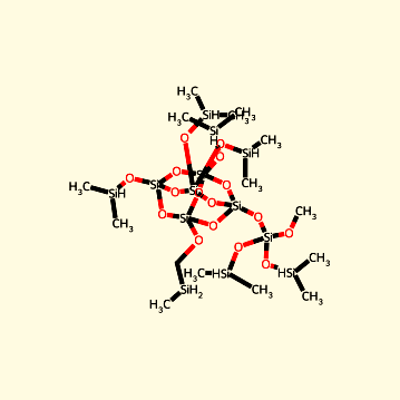 CO[Si](O[SiH](C)C)(O[SiH](C)C)O[Si]12O[Si](O[SiH](C)C)(O[SiH](C)C)O[Si]3(O[SiH](C)C)O[Si](OC[SiH2]C)(O[Si](O[SiH](C)C)(O3)O1)O2